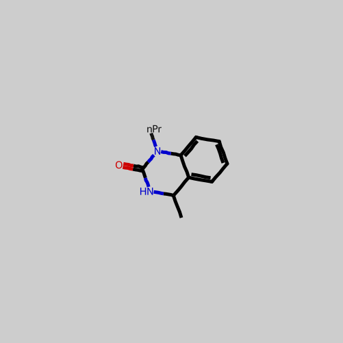 CCCN1C(=O)NC(C)c2ccccc21